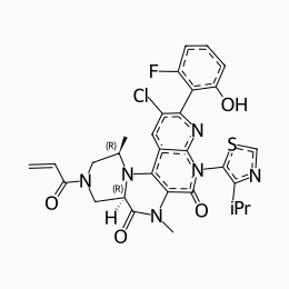 C=CC(=O)N1C[C@@H](C)N2c3c(c(=O)n(-c4scnc4C(C)C)c4nc(-c5c(O)cccc5F)c(Cl)cc34)N(C)C(=O)[C@H]2C1